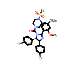 CCS(=O)(=O)N1CCN(C(=O)N2C(c3ccc(OC)cc3OC(C)C)=N[C@@H](c3ccc(Cl)cc3)[C@H]2c2ccc(Cl)cc2)CC1